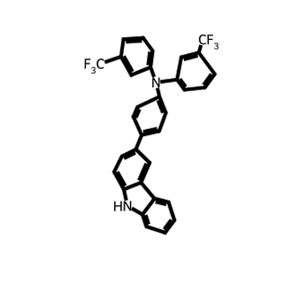 FC(F)(F)c1cccc(N(c2ccc(-c3ccc4[nH]c5ccccc5c4c3)cc2)c2cccc(C(F)(F)F)c2)c1